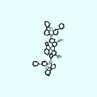 CC(C)c1cc2c(c3ccc(N(c4ccc(-c5ccccc5)cc4)c4cccc5c4oc4ccccc45)cc13)C1(c3ccccc3-c3ccccc31)c1c-2cc(C(C)C)c2cc(N(c3ccc(-c4ccccc4)cc3)c3cccc4c3oc3ccccc34)ccc12